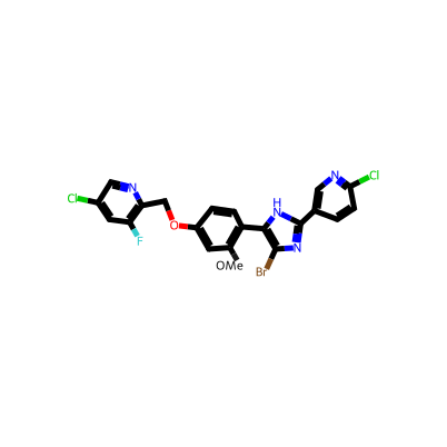 COc1cc(OCc2ncc(Cl)cc2F)ccc1-c1[nH]c(-c2ccc(Cl)nc2)nc1Br